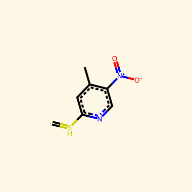 [CH]=[SH]c1cc(C)c([N+](=O)[O-])cn1